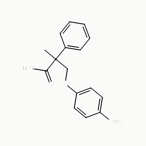 COc1ccc(SCC(C)(C(N)=O)c2ccccc2)cc1